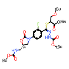 COC(=O)C(COC(C)(C)C)SC(=NNC(=O)OC(C)(C)C)c1ccc(N2C[C@H](CNC(=O)OC(C)(C)C)OC2=O)cc1F